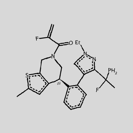 C=C(F)C(=O)N1Cc2sc(C)cc2[C@H](c2ccccc2-c2cn(CC)nc2C(C)(F)P)C1